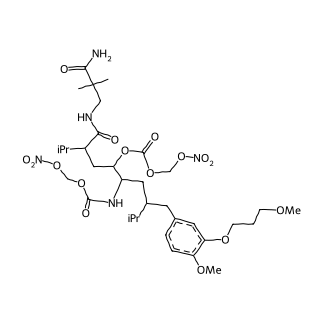 COCCCOc1cc(CC(CC(NC(=O)OCO[N+](=O)[O-])C(CC(C(=O)NCC(C)(C)C(N)=O)C(C)C)OC(=O)OCO[N+](=O)[O-])C(C)C)ccc1OC